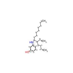 CCCCCCCCC(Nc1cccc(O)c1)C(CC)CCCC